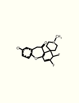 CN1CCC2(CC1)C1=C(C=C(F)C2F)Oc2ccc(Cl)cc2CC1=O